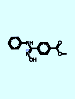 COC(=O)c1ccc(/C(=N\O)Nc2ccccc2)cc1